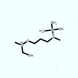 C[SiH](CO)OCCC[SiH](C)[Si](O)([SiH3])[SiH3]